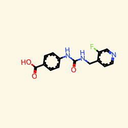 O=C(NCc1ccncc1F)Nc1ccc(C(=O)O)cc1